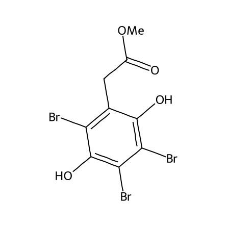 COC(=O)Cc1c(O)c(Br)c(Br)c(O)c1Br